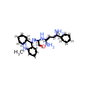 CNc1ccccc1/C(=N\C(C=O)N/C(N)=C/C=C(\N)c1ccccc1)c1ccccc1